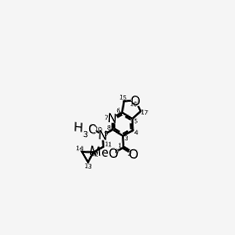 COC(=O)c1cc2c(nc1N(C)CC1CC1)COC2